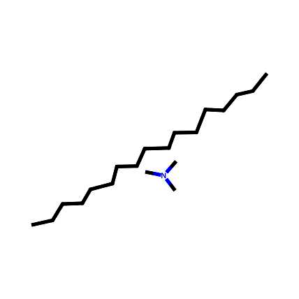 CCCCCCCCCCCCCCCCC.CN(C)C